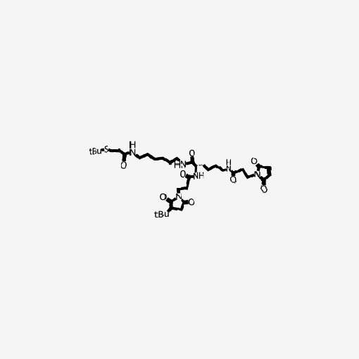 CC(C)(C)SCCC(=O)NCCCCCCNC(=O)[C@H](CCCCNC(=O)CCN1C(=O)C=CC1=O)NC(=O)CCN1C(=O)CC(C(C)(C)C)C1=O